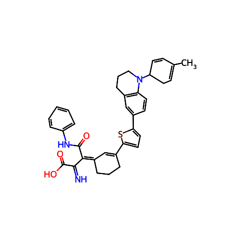 CC1=CCC(N2CCCc3cc(-c4ccc(C5=C/C(=C(/C(=N)C(=O)O)C(=O)Nc6ccccc6)CCC5)s4)ccc32)C=C1